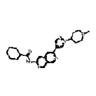 CN1CCC(n2cc(-c3cc4cc(NC(=O)C5CCCCC5)ncc4cn3)cn2)CC1